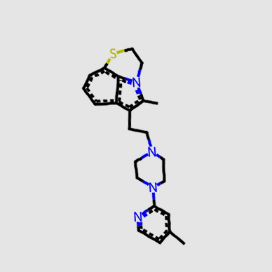 Cc1ccnc(N2CCN(CCc3c(C)n4c5c(cccc35)SCC4)CC2)c1